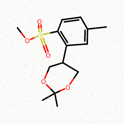 COS(=O)(=O)c1ccc(C)cc1C1COC(C)(C)OC1